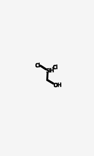 OC[SiH](Cl)Cl